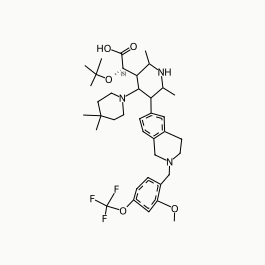 COc1cc(OC(F)(F)F)ccc1CN1CCc2cc(C3C(C)NC(C)C([C@H](OC(C)(C)C)C(=O)O)C3N3CCC(C)(C)CC3)ccc2C1